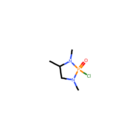 CC1CN(C)P(=O)(Cl)N1C